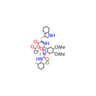 COc1cc(NC(=O)Nc2c(C)cccc2Cl)c(C(=O)N[C@@H](Cc2c[nH]c3ccccc23)C(=O)OC(=O)C(F)(F)F)cc1OC